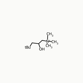 CC(C)(C)CC(O)C[N+](C)(C)C